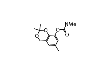 CNC(=O)Oc1cc(C)cc2c1OC(C)(C)OC2